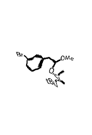 COC(Cc1cccc(Br)c1)O[Si](C)(C)C(C)(C)C